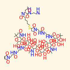 CNCCCNC(=O)[C@H](CC(C)=O)N(C)C(=O)CCCCCSC1CC(=O)N(CCC(=O)NCCCNC(=O)C2OC(OC3C(O)C(CO)OC(OC4C(C=O)OC(OC5C(O)C(CO)OC(OC6C(C(=O)NCCCNC(=O)CCN7C(=O)C=CC7=O)OC(OC7C(O)C(CO)OC(C(C)(C)C)C7NC(C)=O)C(O)C6O)C5NC(C)=O)C(O)C4O)C3NC(C)=O)C(O)C(O)C2OC(C)(C)C)C1=O